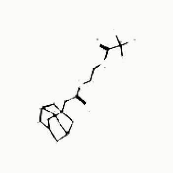 O=C(CC12CC3CC(CC(C3)C1)C2)OCCOC(=O)C(F)(F)S